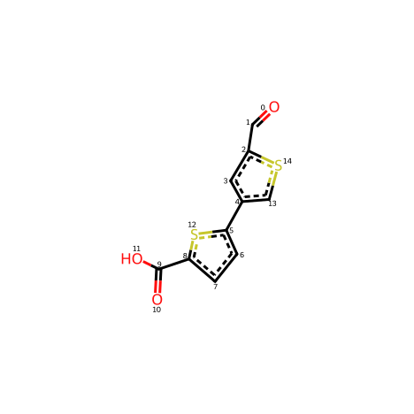 O=Cc1cc(-c2ccc(C(=O)O)s2)cs1